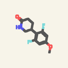 COc1cc(F)c(C2CCC(=O)NC2)c(F)c1